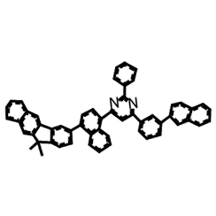 CC1(C)c2ccc(-c3ccc(-c4cc(-c5cccc(-c6ccc7ccccc7c6)c5)nc(-c5ccccc5)n4)c4ccccc34)cc2-c2cc3ccccc3cc21